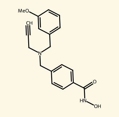 C#CCN(Cc1ccc(C(=O)NO)cc1)Cc1cccc(OC)c1